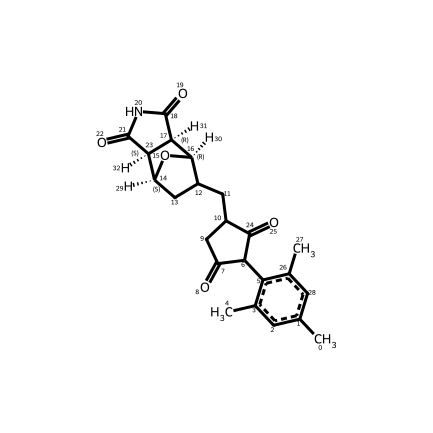 Cc1cc(C)c(C2C(=O)CC(CC3C[C@@H]4O[C@H]3[C@@H]3C(=O)NC(=O)[C@@H]34)C2=O)c(C)c1